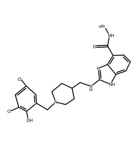 CCCNC(=O)c1cccc2[nH]c(NCC3CCN(Cc4cc(Cl)cc(Cl)c4O)CC3)nc12